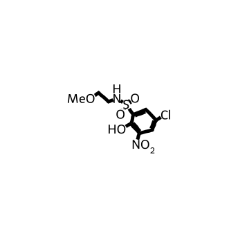 COCCNS(=O)(=O)c1cc(Cl)cc([N+](=O)[O-])c1O